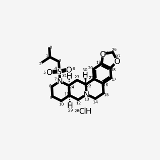 CC(C)CS(=O)(=O)N1CCC[C@@H]2CN3CCc4cc5c(cc4[C@H]3C[C@@H]21)OCO5.Cl